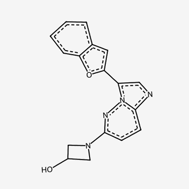 OC1CN(c2ccc3ncc(-c4cc5ccccc5o4)n3n2)C1